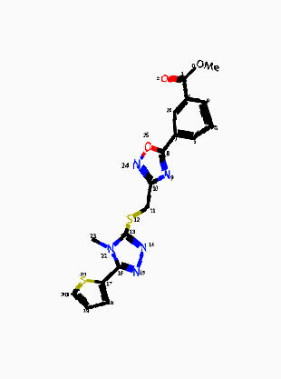 COC(=O)c1cccc(-c2nc(CSc3nnc(-c4cccs4)n3C)no2)c1